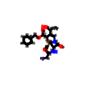 CCCC(O)C1=CN2C(=O)C(NC(=O)CI)[C@H]2SC1C(=O)OCc1ccccc1